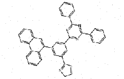 C1=CC(c2cc(-c3nc(-c4ccccc4)nc(-c4ccccc4)n3)cc(-c3cc4ccccc4c4ccccc34)c2)=NC1